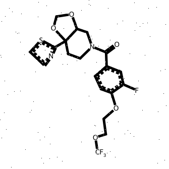 O=C(c1ccc(OCCOC(F)(F)F)c(F)c1)N1CCC2(c3nccs3)OCOC2C1